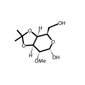 CO[C@@H]1[C@H]2OC(C)(C)O[C@H]2[C@@H](CO)O[C@@H]1O